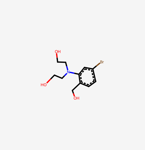 OCCN(CCO)c1cc(Br)ccc1CO